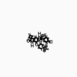 CS(=O)(=O)N1CCC(Oc2cc(NS(=O)(=O)c3ccc(Cl)cc3F)cc3c2NC(=O)C32CCC2)CC1